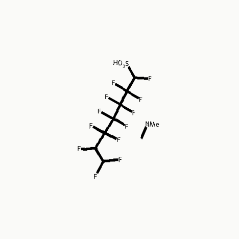 CNC.O=S(=O)(O)C(F)C(F)(F)C(F)(F)C(F)(F)C(F)(F)C(F)C(F)F